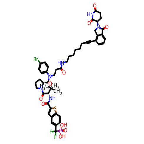 CC(C)(C)[C@H](NC(=O)c1cc2cc(C(F)(F)P(=O)(O)O)ccc2s1)C(=O)N1CCC[C@H]1C(=O)N(CCC(=O)NCCCCCCC#Cc1cccc2c1CN(C1CCC(=O)NC1=O)C2=O)c1ccc(Br)cc1